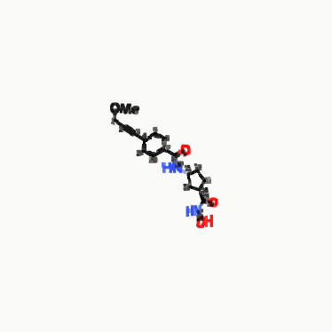 COCC#Cc1ccc(C(=O)N[C@@H]2CC[C@@H](C(=O)NO)C2)cc1